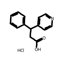 Cl.O=C(O)CC(c1ccccc1)c1ccncc1